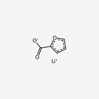 O=C([O-])c1ccco1.[Li+]